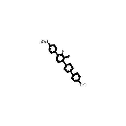 CCCCCCCCc1ccc(-c2ccc(-c3ccc(-c4ccc(CCC)cc4)cc3)c(F)c2F)cc1